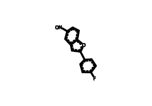 O=Nc1ccc2oc(-c3ccc(F)cc3)cc2c1